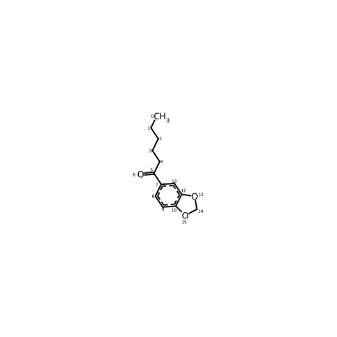 CCCCCC(=O)c1ccc2c(c1)OCO2